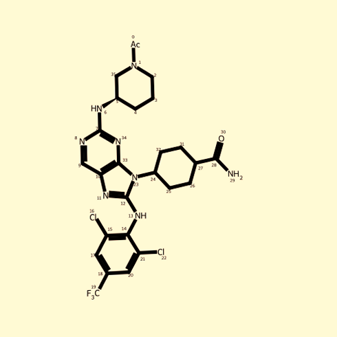 CC(=O)N1CCC[C@@H](Nc2ncc3nc(Nc4c(Cl)cc(C(F)(F)F)cc4Cl)n(C4CCC(C(N)=O)CC4)c3n2)C1